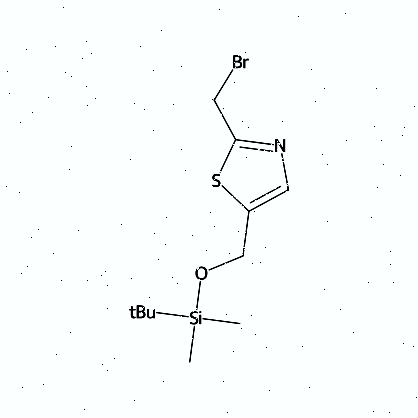 CC(C)(C)[Si](C)(C)OCc1cnc(CBr)s1